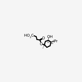 CC(C)[C@H]1CC[C@@](C)(OC(=O)CCC(=O)O)C[C@@H]1O